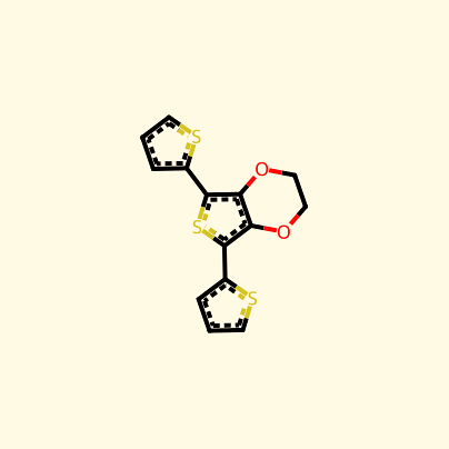 c1csc(-c2sc(-c3cccs3)c3c2OCCO3)c1